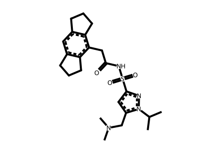 CC(C)n1nc(S(=O)(=O)NC(=O)Cc2c3c(cc4c2CCC4)CCC3)cc1CN(C)C